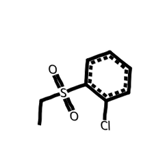 CCS(=O)(=O)c1ccccc1Cl